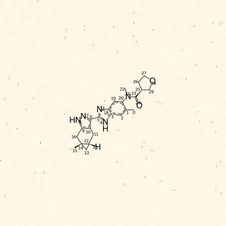 Cc1cc2[nH]c(-c3n[nH]c4c3C[C@@H]3C[C@]3(C)C4)nc2cc1N(C)C(=O)[C@H]1CCOC1